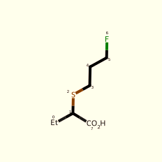 CCC(SCCCF)C(=O)O